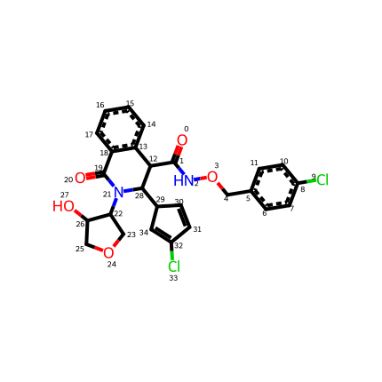 O=C(NOCc1ccc(Cl)cc1)C1c2ccccc2C(=O)N(C2COCC2O)C1C1C=CC(Cl)=C1